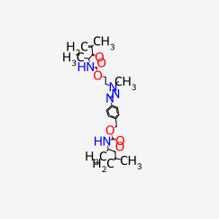 C=C(C)C(=O)C(C)NC(=O)OCCN(C)N=Nc1ccc(COC(=O)NC(C)C(=O)C(=C)C)cc1